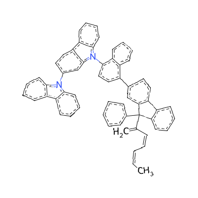 C=C(/C=C\C=C/C)C1(c2ccccc2)c2ccccc2-c2ccc(-c3ccc(-n4c5ccccc5c5ccc(-n6c7ccccc7c7ccccc76)cc54)c4ccccc34)cc21